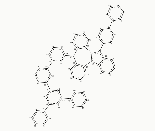 c1ccc(-c2ccc(-n3c4c(c5ccccc53)-c3ccccc3N(c3cccc(-c5cccc(-c6cc(-c7ccccc7)nc(-c7ccccc7)n6)c5)c3)c3ccccc3-4)cc2)cc1